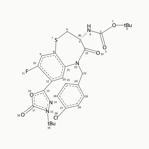 CC(C)(C)OC(=O)N[C@H]1CSc2cc(F)c(-c3nn(C(C)(C)C)c(=O)o3)cc2N(Cc2ccc(Cl)cc2)C1=O